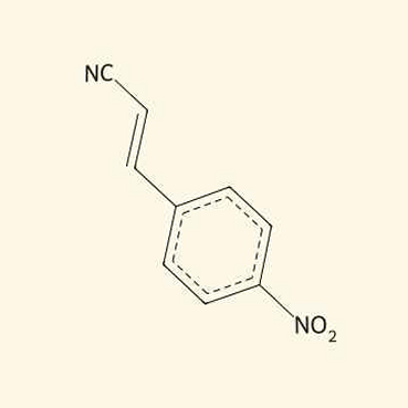 N#C/C=C/c1ccc([N+](=O)[O-])cc1